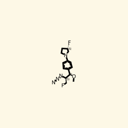 CO[C@H](c1ccc(N2CC[C@H](F)C2)cc1)[C@@H](CF)N=[N+]=[N-]